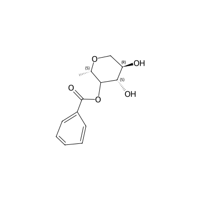 C[C@@H]1OC[C@@H](O)[C@H](O)C1OC(=O)c1ccccc1